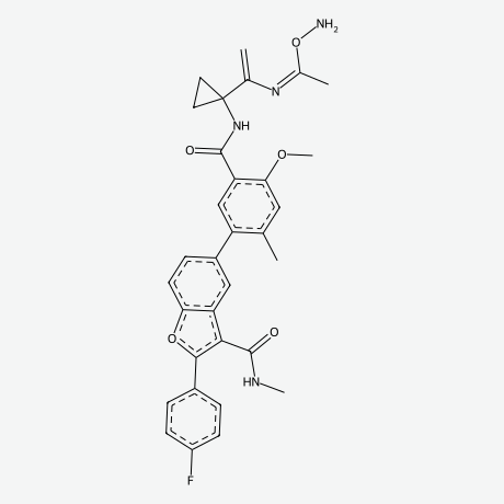 C=C(/N=C(/C)ON)C1(NC(=O)c2cc(-c3ccc4oc(-c5ccc(F)cc5)c(C(=O)NC)c4c3)c(C)cc2OC)CC1